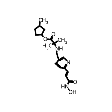 CC1CCC(OC(=O)C(C)(C)NCc2ccc(C=CC(=O)NO)nc2)C1